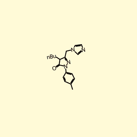 CCCCC1C(=O)N(c2ccc(C)cc2)N=C1Cn1ccnc1